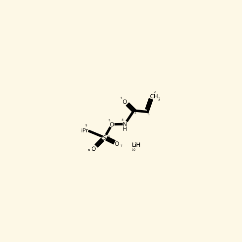 C=CC(=O)NOS(=O)(=O)C(C)C.[LiH]